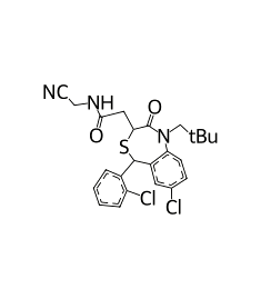 CC(C)(C)CN1C(=O)C(CC(=O)NCC#N)SC(c2ccccc2Cl)c2cc(Cl)ccc21